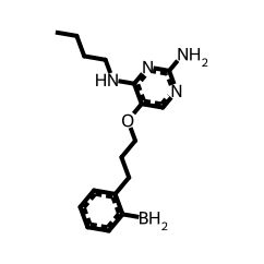 Bc1ccccc1CCCOc1cnc(N)nc1NCCCC